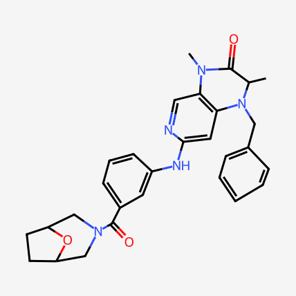 CC1C(=O)N(C)c2cnc(Nc3cccc(C(=O)N4CC5CCC(C4)O5)c3)cc2N1Cc1ccccc1